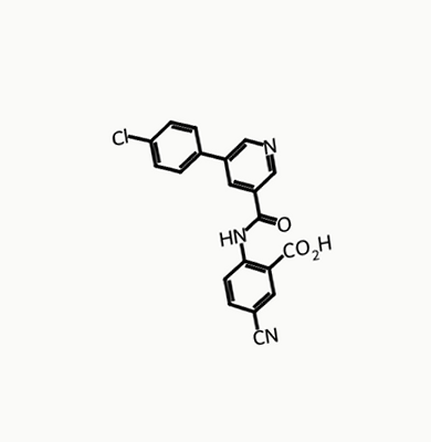 N#Cc1ccc(NC(=O)c2cncc(-c3ccc(Cl)cc3)c2)c(C(=O)O)c1